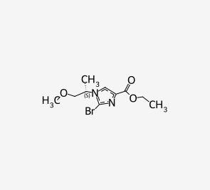 CCOC(=O)c1cn([C@@H](C)COC)c(Br)n1